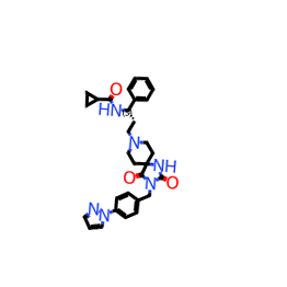 O=C(N[C@@H](CCN1CCC2(CC1)NC(=O)N(Cc1ccc(-n3cccn3)cc1)C2=O)c1ccccc1)C1CC1